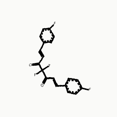 O=C(/C=C/c1ccc(F)cc1)C(F)(F)C(=O)/C=C/c1ccc(F)cc1